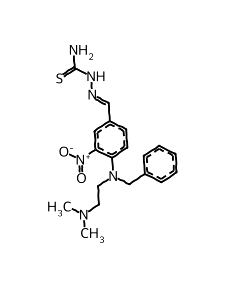 CN(C)CCN(Cc1ccccc1)c1ccc(/C=N/NC(N)=S)cc1[N+](=O)[O-]